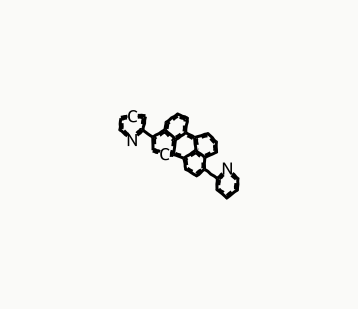 c1ccc(-c2ccc3c4ccc(-c5ccccn5)c5cccc(c6cccc2c63)c54)nc1